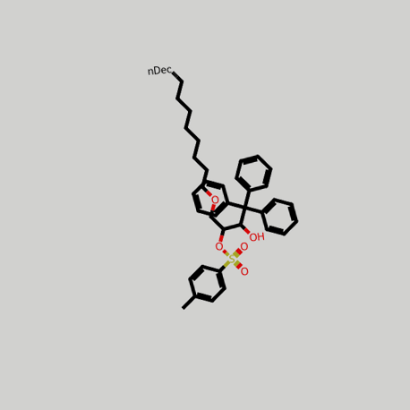 CCCCCCCCCCCCCCCCCCOCC(OS(=O)(=O)c1ccc(C)cc1)C(O)C(c1ccccc1)(c1ccccc1)c1ccccc1